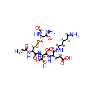 CC(=O)NC(CSSC[C@H](NC=O)C(N)=O)C(=O)N[C@@H](C(=O)O)C(=O)N[C@@H](CCC(=O)O)C(=O)NCCCCCN